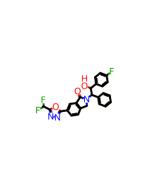 O=C1c2cc(-c3nnc(C(F)F)o3)ccc2CN1C(c1ccccc1)C(O)c1ccc(F)cc1